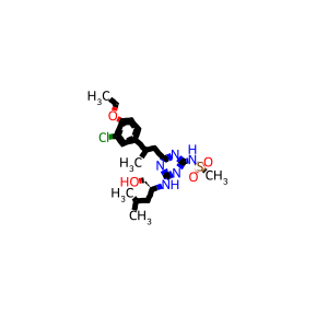 CCOc1ccc(C(C)Cc2nc(N[C@@H](CO)CC(C)C)nc(NS(C)(=O)=O)n2)cc1Cl